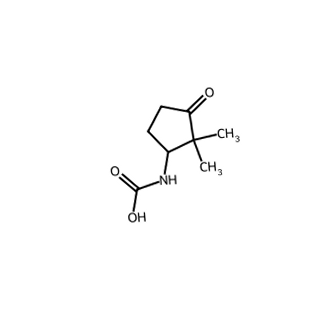 CC1(C)C(=O)CCC1NC(=O)O